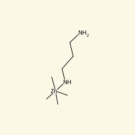 [CH3][Zn]([CH3])([CH3])([CH3])[NH]CCCN